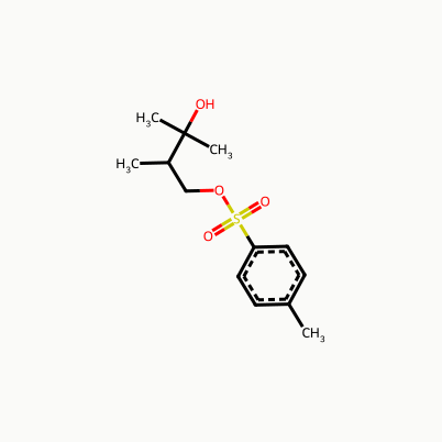 Cc1ccc(S(=O)(=O)OCC(C)C(C)(C)O)cc1